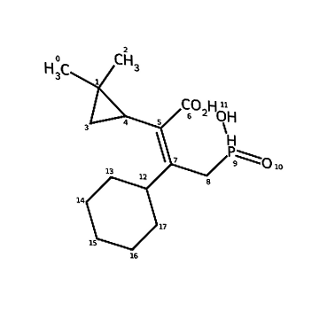 CC1(C)CC1C(C(=O)O)=C(C[PH](=O)O)C1CCCCC1